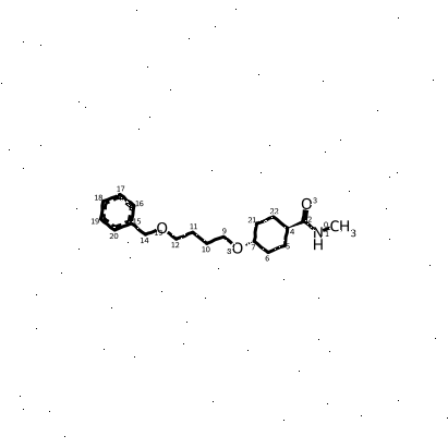 CNC(=O)[C@H]1CC[C@H](OCCCCOCc2ccccc2)CC1